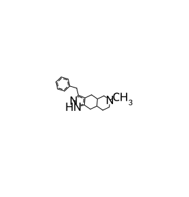 CN1CCC2Cc3[nH]nc(Cc4ccccc4)c3CC2C1